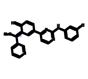 CO/C(=C1/C=C(c2ccnc(Nc3cccc(Cl)c3)n2)C=CC1=N)c1cccnc1